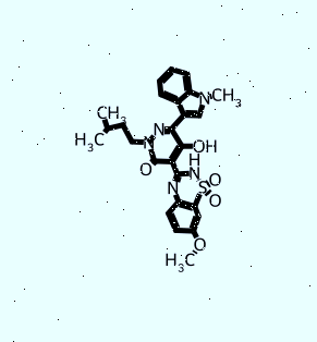 COc1ccc2c(c1)S(=O)(=O)NC(c1c(O)c(-c3cn(C)c4ccccc34)nn(CCC(C)C)c1=O)=N2